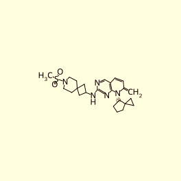 C=C1C=Cc2cnc(NC3CC4(CCN(S(C)(=O)=O)CC4)C3)nc2N1[C@H]1CCCC12CC2